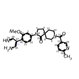 COc1cc(N2CCC3(CCN(C(=O)c4ccc(C)nc4)CC3)C2=O)ccc1/C(C=N)=C/N